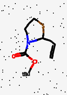 C=CC1SCCN1C(=O)OC(C)(C)C